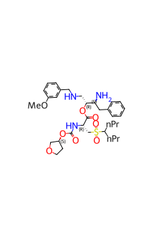 CCCC(CCC)S(=O)(=O)C[C@H](NC(=O)O[C@H]1CCOC1)C(=O)O[C@H](CNCc1cccc(OC)c1)[C@@H](N)Cc1ccccc1